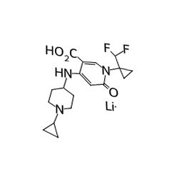 O=C(O)c1cn(C2(C(F)F)CC2)c(=O)cc1NC1CCN(C2CC2)CC1.[Li]